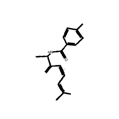 C=C(/C=C\C=C(C)C)C(C)NC(=O)c1ccc(C)cc1